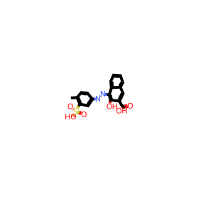 Cc1ccc(N=Nc2c(O)c(C(=O)O)cc3ccccc23)cc1S(=O)(=O)O